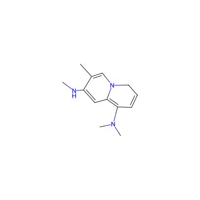 CNC1=CC2=C(N(C)C)C=CCN2C=C1C